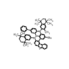 Cc1cc2c(cc1N1c3ccc(-c4ccccc4)cc3B3c4c(cc(C(C)(C)C)cc41)-c1c(ccc4sc5ccccc5c14)N3c1ccc3c(c1)C(C)(C)CCC3(C)C)C(C)(C)CCC2(C)C